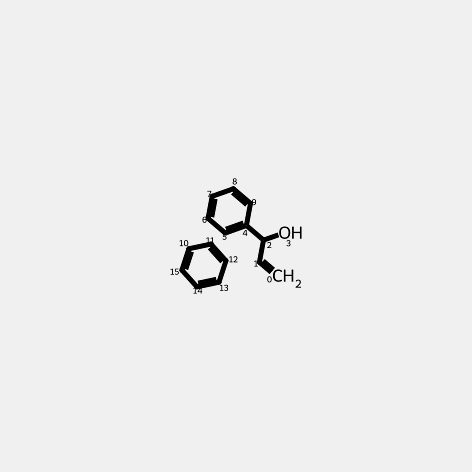 C=CC(O)c1ccccc1.c1ccccc1